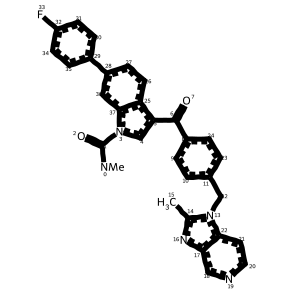 CNC(=O)n1cc(C(=O)c2ccc(Cn3c(C)nc4cnccc43)cc2)c2ccc(-c3ccc(F)cc3)cc21